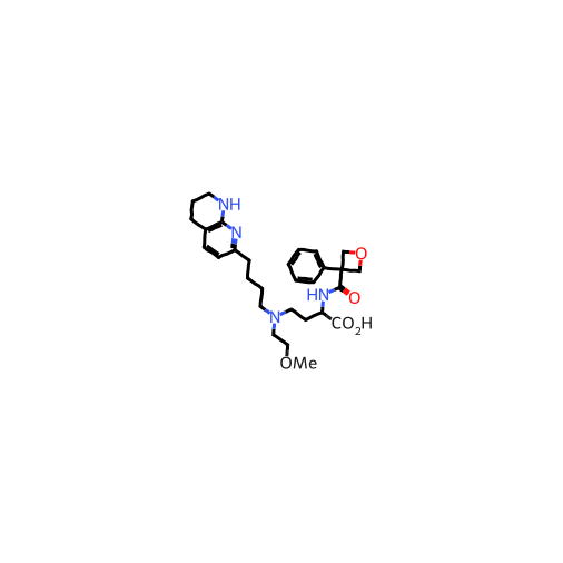 COCCN(CCCCc1ccc2c(n1)NCCC2)CCC(NC(=O)C1(c2ccccc2)COC1)C(=O)O